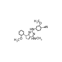 CNC1=NC(Nc2ccc(C#N)c(OC)c2)N=C2C1=CCC2c1ccccc1OC